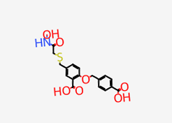 O=C(CSCc1ccc(OCc2ccc(C(=O)O)cc2)c(C(=O)O)c1)NO